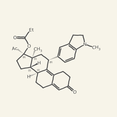 CCC(=O)O[C@]1(C(C)=O)CC[C@H]2[C@@H]3CCC4=CC(=O)CCC4=C3[C@@H](c3ccc4c(c3)CCN4C)C[C@@]21C